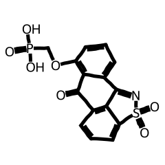 O=C1c2cccc3c2C(=NS3(=O)=O)c2cccc(OCP(=O)(O)O)c21